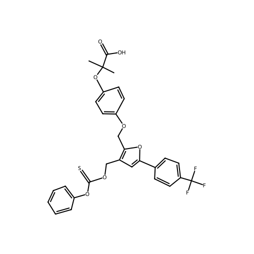 CC(C)(Oc1ccc(OCc2oc(-c3ccc(C(F)(F)F)cc3)cc2COC(=S)Oc2ccccc2)cc1)C(=O)O